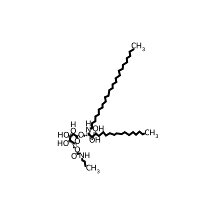 CCCCCCCCCCCCCCCCCCCCCCCCCCN[C@@H](CO[C@H]1O[C@H](COC(=O)NCCCC)[C@H](O)[C@H](O)[C@H]1O)[C@H](O)[C@H](O)CCCCCCCCCCCCCC